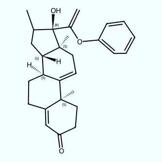 C=C(Oc1ccccc1)[C@@]1(O)C(C)C[C@H]2[C@@H]3CCC4=CC(=O)CC[C@]4(C)C3=CC[C@@]21C